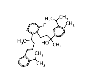 Cc1ccc(C(C)(O)CCc2c(F)cccc2C(C)C/C=C/c2ccccc2C(C)C)cc1C(C)C